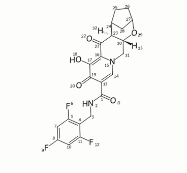 O=C(NCc1c(F)cc(F)cc1F)c1cn2c(c(O)c1=O)C(=O)[C@H]1C3CCC(C3)O[C@@H]1C2